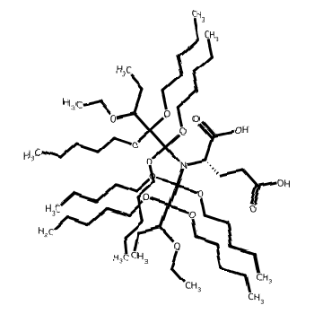 CCCCCOC(OCCCCC)(C(CC)OCC)C(OCCCCC)(OCCCCC)N([C@@H](CCC(=O)O)C(=O)O)C(OCCCCC)(OCCCCC)C(OCCCCC)(OCCCCC)C(CC)OCC